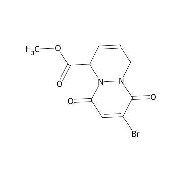 COC(=O)C1C=CCn2c(=O)c(Br)cc(=O)n21